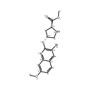 COC(=O)[C@@H]1C[C@@H](Oc2nc3cc(OC)ccc3cc2Br)CN1